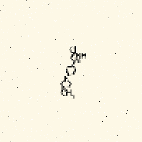 CN1CCN(c2ccc(-c3cc(Cl)[nH]n3)cc2)CC1